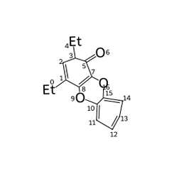 CCC1=CC(CC)C(=O)C2=C1Oc1ccccc1O2